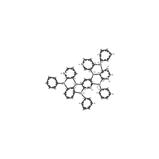 c1ccc(N2c3cccc4c3B(c3cccnc32)c2cc3c(nc2N4c2ccccc2)N(c2ccccc2)c2ncnc4c2B3c2cnccc2N4c2ccccc2)cc1